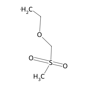 [CH2]COCS(C)(=O)=O